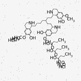 CCCC(=O)O.CCCC(=O)O.CCCC(=O)O.COc1cc2c(cc1O)C(CCCCC(CCC1NCCc3cc(OC)c(O)cc31)CCC1NCCc3cc(OC)c(O)cc31)NCC2.Cl.Cl.Cl.O.O.O